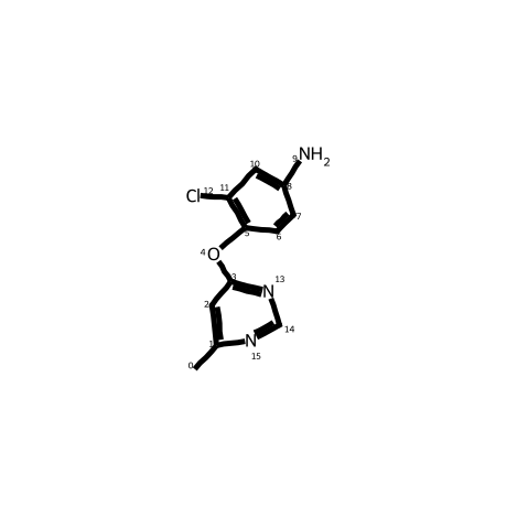 Cc1cc(Oc2ccc(N)cc2Cl)ncn1